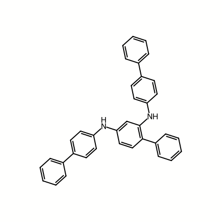 c1ccc(-c2ccc(Nc3ccc(-c4ccccc4)c(Nc4ccc(-c5ccccc5)cc4)c3)cc2)cc1